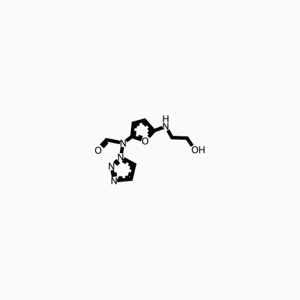 O=CN(c1ccc(NCCO)o1)n1ccnn1